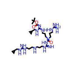 CC(C)(C)OC(=O)/N=C(/NCCCN(CCCNC(=N)N)C(=O)NC(=N)NCCCNCCCNC(=N)NCC1CC1)NCC1CC1